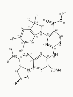 COc1cc(N2C[C@@H](F)C[C@@H]2CN(C)C)c([N+](=O)[O-])cc1Nc1ncc(C(=O)OC(C)C)c(N2CC(C)(C)c3cc(F)c(F)cc32)n1